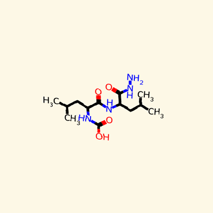 CC(C)CC(NC(=O)O)C(=O)NC(CC(C)C)C(=O)NN